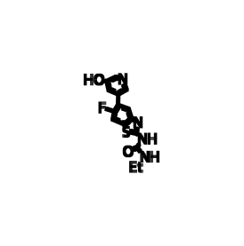 CCNC(=O)Nc1nc2cc(-c3cncc(O)c3)c(F)cc2s1